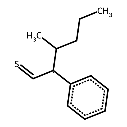 CCCC(C)[C](C=S)c1ccccc1